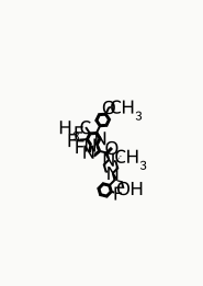 COc1ccc(-c2nc3c(C(=O)N4CCN([C@@H](CO)c5ccccc5F)C[C@H]4C)cnn3c(C(F)(F)F)c2C)cc1